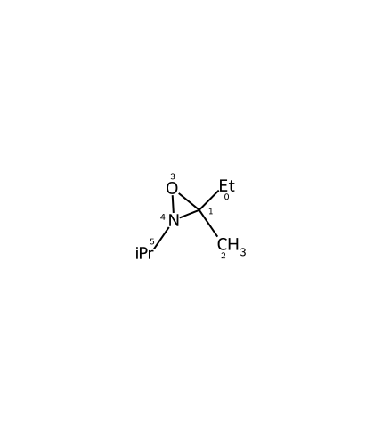 CCC1(C)ON1C(C)C